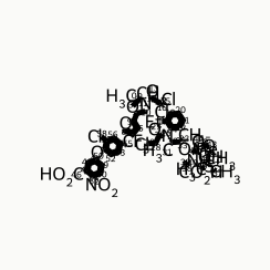 CC1(C)OC(c2ccco2)CN1C(=O)C(Cl)Cl.CCc1cccc(C)c1N(C(=O)CCl)C(C)COC.C[S+](C)C.O=C(O)CNCP(=O)([O-])O.O=C(O)c1cc(Oc2ccc(C(F)(F)F)cc2Cl)ccc1[N+](=O)[O-]